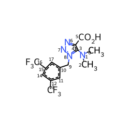 CN(C)c1c(C(=O)O)nnn1Cc1cc(C(F)(F)F)cc(C(F)(F)F)c1